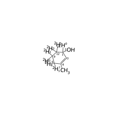 [2H]C1(O)C=C(C)C([2H])([2H])C([2H])([2H])C1([2H])[2H]